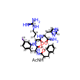 CC(=O)N[C@H](Cc1ccccc1)C(=O)N[C@@H](Cc1ccc(I)cc1)C(=O)N[C@H](CCCNC(=N)N)C(=O)N[C@H](Cc1cnc[nH]1)C(N)=O